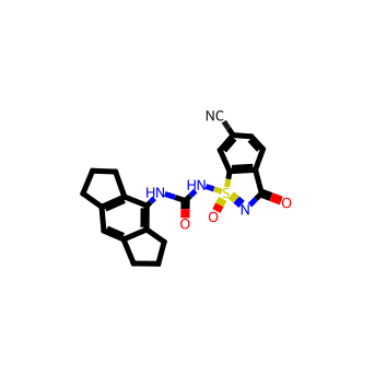 N#Cc1ccc2c(c1)S(=O)(NC(=O)Nc1c3c(cc4c1CCC4)CCC3)=NC2=O